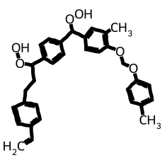 C=Cc1ccc(CCC(OO)c2ccc(C(OO)c3ccc(OCOc4ccc(C)cc4)c(C)c3)cc2)cc1